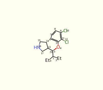 CCC(CC)[C@H](Oc1cccc(Cl)c1Cl)C1CCNC1